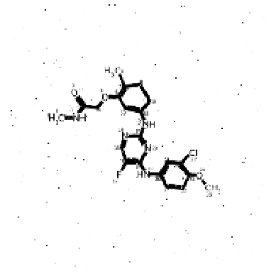 CNC(=O)COC1=C(C)CCC(Nc2ncc(F)c(Nc3ccc(OC)c(Cl)c3)n2)=C1